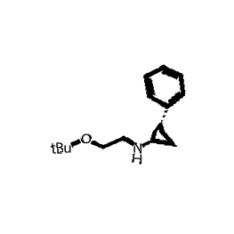 CC(C)(C)OCCN[C@@H]1C[C@H]1c1ccccc1